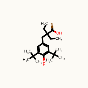 CCC(CC)(Cc1cc(C(C)(C)C)c(O)c(C(C)(C)C)c1)C(O)=S